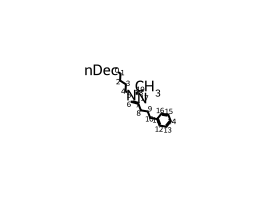 CCCCCCCCCCCCCCn1cc(CCCc2ccccc2)nc1C